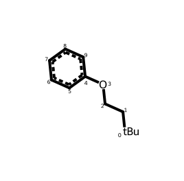 CC(C)(C)CCOc1ccccc1